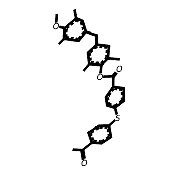 COc1c(C)cc(Cc2cc(C)c(OC(=O)c3ccc(Sc4ccc(C(C)=O)cc4)cc3)c(C)c2)cc1C